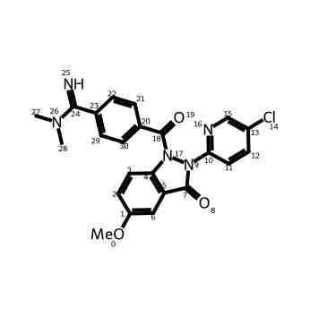 COc1ccc2c(c1)c(=O)n(-c1ccc(Cl)cn1)n2C(=O)c1ccc(C(=N)N(C)C)cc1